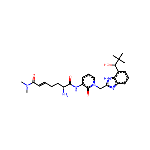 CN(C)C(=O)/C=C/CC[C@H](N)C(=O)Nc1cccn(Cc2nc3cccc(C(O)C(C)(C)C)c3[nH]2)c1=O